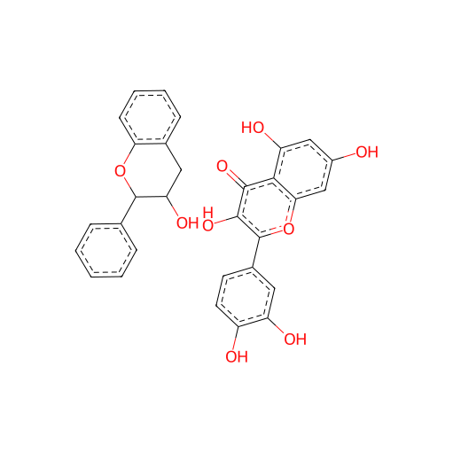 O=c1c(O)c(-c2ccc(O)c(O)c2)oc2cc(O)cc(O)c12.OC1Cc2ccccc2OC1c1ccccc1